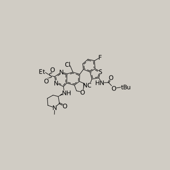 CCS(=O)(=O)c1nc(N[C@@H]2CCCN(C)C2=O)c2c3c(c(-c4ccc(F)c5sc(NC(=O)OC(C)(C)C)c(C#N)c45)c(Cl)c2n1)COC3